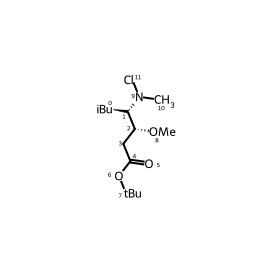 CC[C@H](C)[C@@H]([C@@H](CC(=O)OC(C)(C)C)OC)N(C)Cl